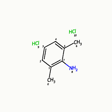 Cc1cccc(C)c1N.Cl.Cl